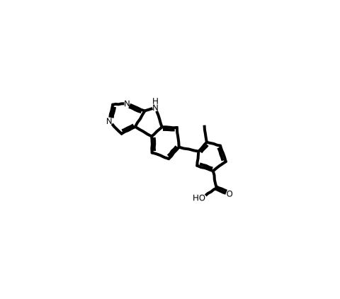 Cc1ccc(C(=O)O)cc1-c1ccc2c(c1)[nH]c1ncncc12